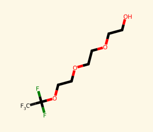 OCCOCCOCCOC(F)(F)C(F)(F)F